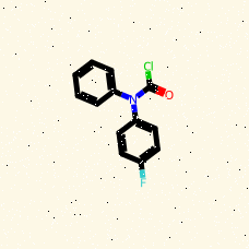 O=C(Cl)N(c1ccccc1)c1ccc(F)cc1